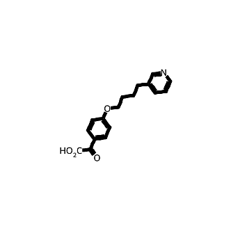 O=C(O)C(=O)c1ccc(OCCCCc2cccnc2)cc1